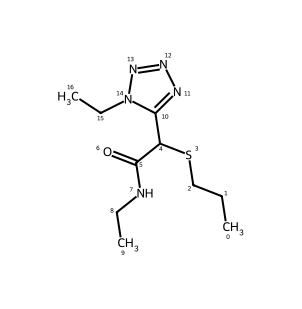 CCCSC(C(=O)NCC)c1nnnn1CC